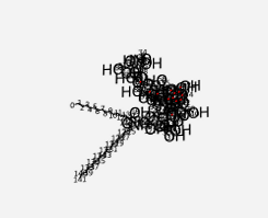 CCCCCCCCCCCCC/C=C/[C@@H](O)[C@H](CO[C@@H]1OC(CO)[C@@H](O[C@@H]2OC(CO)[C@H](O)[C@H](O[C@@H]3OC(CO)[C@@H](O[C@@H]4OC(CO)[C@H](O)[C@H](O[C@@H]5OC(CO)[C@@H](O[C@@H]6OC(CO[C@]7(C(=O)O)CC(O)[C@@H](NC(C)=O)C([C@H](O)[C@H](O)CO)O7)[C@H](O)[C@H](O)C6O)[C@H](O)C5NC(C)=O)C4O)[C@H](O[C@H]4OC(C)[C@@H](O)C(O)[C@@H]4O)C3NC(C)=O)C2O)[C@H](O)C1O)NC(=O)CCCCCCCCCCCCCCCCC